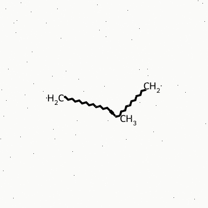 [CH2]CCCCCCCCCCCCCC#CCC(C)CCCCCCCCCC[CH2]